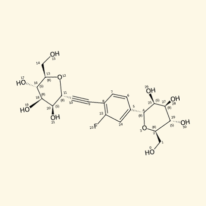 OC[C@H]1O[C@H](c2ccc(C#C[C@H]3O[C@H](CO)[C@@H](O)[C@H](O)[C@@H]3O)c(F)c2)[C@@H](O)[C@@H](O)[C@@H]1O